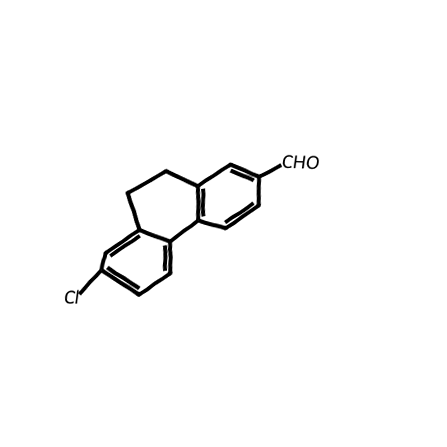 O=Cc1ccc2c(c1)CCc1cc(Cl)ccc1-2